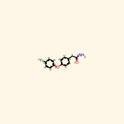 NC(=O)Cc1ccc(Oc2ccc(F)cc2)cc1